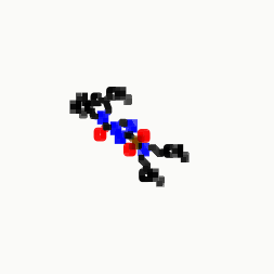 C=CCN(CC=C)S(=O)(=O)c1ncn(C(=O)N(CC)CC(C)C)n1